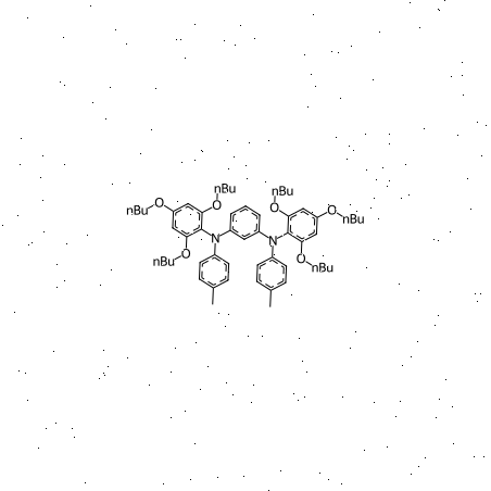 CCCCOc1cc(OCCCC)c(N(c2ccc(C)cc2)c2cccc(N(c3ccc(C)cc3)c3c(OCCCC)cc(OCCCC)cc3OCCCC)c2)c(OCCCC)c1